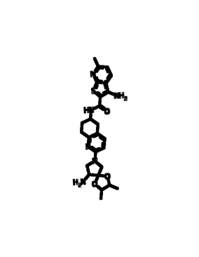 Cc1ccc2c(N)c(C(=O)NC3CCc4nc(N5CC(N)C6(C5)OC(C)C(C)O6)ccc4C3)sc2n1